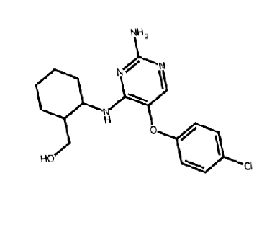 Nc1ncc(Oc2ccc(Cl)cc2)c(NC2CCCCC2CO)n1